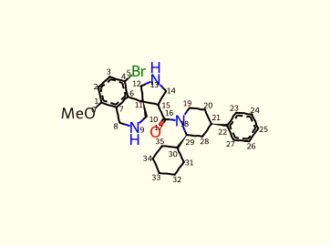 COc1ccc(Br)c2c1CNC[C@]21CNCC1C(=O)N1CC[C@@H](c2ccccc2)C[C@H]1C1CCCCC1